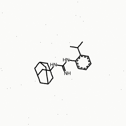 CC(C)c1ccccc1NC(=N)NC12CC3CC(CC(C3)C1)C2